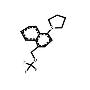 FC(F)(F)OCc1ccc([S+]2CCCC2)c2ccccc12